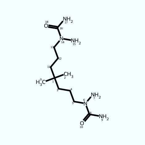 CC(C)(CCCN(N)C(N)=O)CCCN(N)C(N)=O